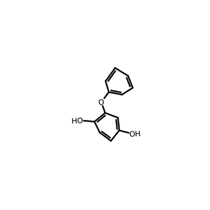 Oc1ccc(O)c(Oc2ccccc2)c1